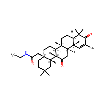 CC1(C)CC[C@]2(CC(=O)NCC(F)(F)F)CC[C@]3(C)[C@H](C(=O)C[C@@H]4[C@@]5(C)C=C(C#N)C(=O)C(C)(C)[C@@H]5CC[C@]43C)[C@@H]2C1